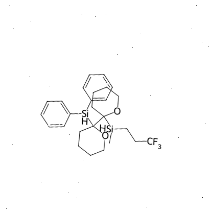 C[SiH](CCC(F)(F)F)C1(C2([SiH](c3ccccc3)c3ccccc3)CCCCO2)CCCCO1